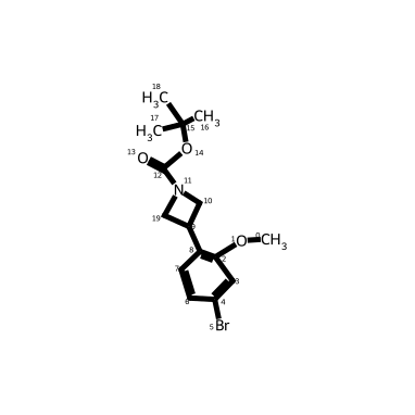 COc1cc(Br)ccc1C1CN(C(=O)OC(C)(C)C)C1